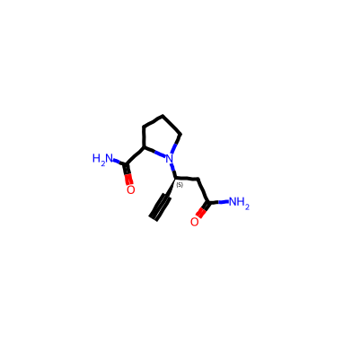 C#C[C@H](CC(N)=O)N1CCCC1C(N)=O